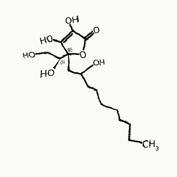 CCCCCCCCC(O)C[C@]1([C@@H](O)CO)OC(=O)C(O)=C1O